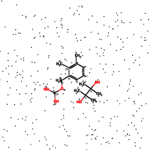 CC(C)(O)C(C)(C)O.Cc1cccc([SiH2]OB(O)O)c1C